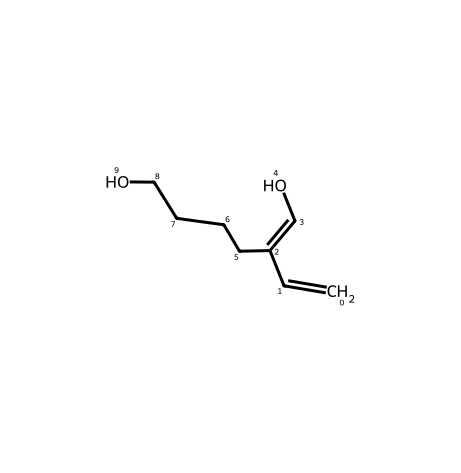 C=CC(=CO)CCCCO